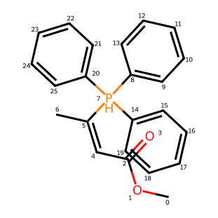 COC(=O)/C=C(/C)[PH](c1ccccc1)(c1ccccc1)c1ccccc1